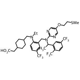 CCN(CC1CCC(CC(=O)O)CC1)c1ccc(C(F)(F)F)cc1CN(c1ncc(OCCSC)cn1)C(C)c1cc(C(F)(F)F)ccc1C(F)(F)F